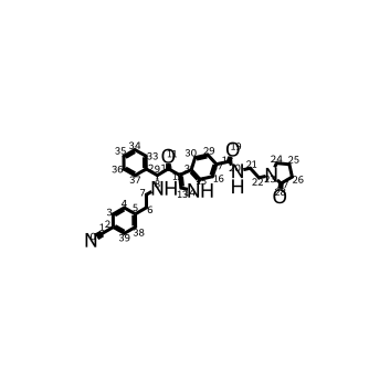 N#Cc1ccc(CCN[C@@H](C(=O)c2c[nH]c3cc(C(=O)NCCN4CCCC4=O)ccc23)c2ccccc2)cc1